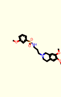 COc1cccc(S(=O)(=O)NCCCN2CCc3cc(OC)c(OC)cc3C2)c1